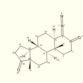 C[C@]12CCC(=O)C(=[N+]=[N-])[C@@H]1CC[C@@H]1[C@@H]2CC[C@]2(C)C(=O)CC[C@@H]12